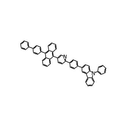 c1ccc(-c2ccc(-c3c4ccccc4c(-c4ccc(-c5ccc(-c6ccc7c(c6)c6ccccc6n7-c6ccccc6)cc5)nc4)c4ccccc34)cc2)cc1